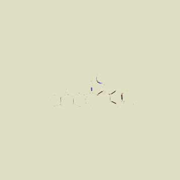 CC1CCC(N(C(=O)O)C2CCCC2)CN1c1cc(-c2ccc(C#N)c(F)c2)nc(N)n1